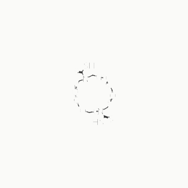 S=C(S)N1CCOCCOCCN(C(=S)S)CCOCCOCC1